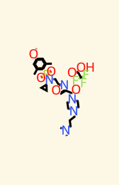 COc1cc(C)c(S(=O)(=O)N(Cc2nc(C(=O)N3CCN(CCCN(C)C)CC3)co2)C2CC2)c(C)c1.O=C(O)C(F)(F)F